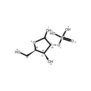 O=P(O)(O)O[C@H]1C(O)O[C@H](CO)[C@@H]1O